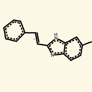 Ic1ccc2nc(/C=C/c3ccccc3)[nH]c2c1